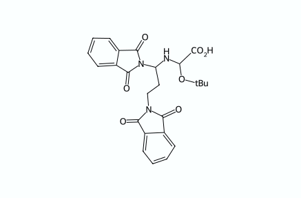 CC(C)(C)OC(NC(CCN1C(=O)c2ccccc2C1=O)N1C(=O)c2ccccc2C1=O)C(=O)O